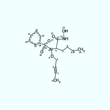 CC#CCON(C(CCSC)C(=O)NO)S(=O)(=O)c1ccccc1